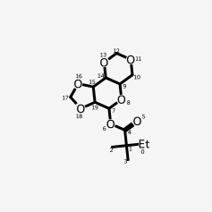 CCC(C)(C)C(=O)OC1OC2COCOC2C2OCOC12